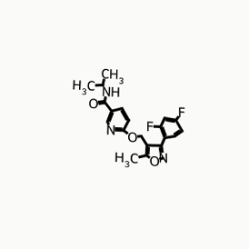 Cc1onc(-c2ccc(F)cc2F)c1COc1ccc(C(=O)NC(C)C)cn1